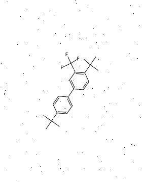 CC(C)(C)c1ccc(-c2ccc(C(C)(C)C)c(C(F)(F)F)c2)cc1